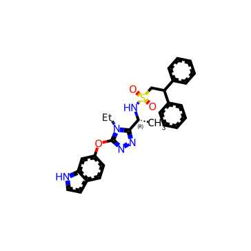 CCn1c(Oc2ccc3cc[nH]c3c2)nnc1[C@@H](C)NS(=O)(=O)CC(c1ccccc1)c1ccccc1